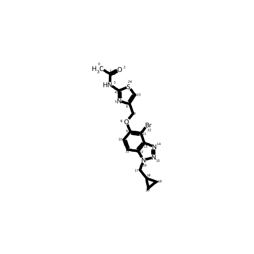 CC(=O)Nc1nc(COc2ccc3c(nnn3CC3CC3)c2Br)cs1